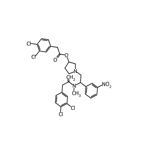 C=C(Cc1ccc(Cl)c(Cl)c1)N(C)C(CN1CCC(OC(=O)Cc2ccc(Cl)c(Cl)c2)C1)c1cccc([N+](=O)[O-])c1